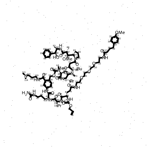 C=CCOC(=O)N[C@@H](CCC(=O)NCCOCCOCCOCCNC(=O)CCCc1ccc(OC)cc1)C(=O)N[C@H](C(=O)N[C@@H](CCCNC(N)=O)C(=O)Nc1ccc(COC(=O)N(C)[C@H](C(=O)N[C@H](C(=O)N(C)[C@@H]([C@@H](C)CC)[C@@H](CC(=O)N2CCC[C@H]2[C@H](OC)[C@@H](C)C(=O)N[C@H](C)[C@@H](O)c2ccccc2)OC)C(C)C)C(C)C)c(C(=O)NCCCN(C)C)c1)C(C)C